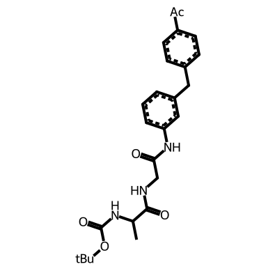 CC(=O)c1ccc(Cc2cccc(NC(=O)CNC(=O)C(C)NC(=O)OC(C)(C)C)c2)cc1